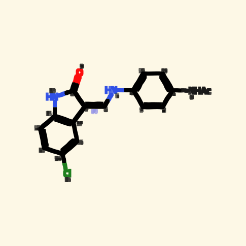 CC(=O)Nc1ccc(N/C=C2\C(=O)Nc3ccc(Cl)cc32)cc1